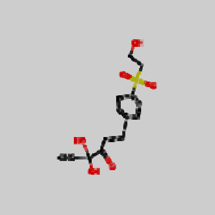 O=[C]C(O)(O)C(=O)C=Cc1ccc(S(=O)(=O)CCO)cc1